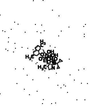 CCC(C)(C)C(=O)O[C@H]1C[C@@H](C)C=C2C=C[C@H](C)[C@H](CC[C@@H](O)C[C@@H](O)CC(=O)N(C3=NCC(C)C3C)C(C3CC3)C3CC3)C21